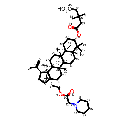 C=C(C)[C@@H]1CC[C@]2(CCOC(=O)CN3CCCCC3)CC[C@]3(C)[C@H](CC[C@@H]4[C@@]5(C)CC[C@H](OC(=O)CC(C)(C)CC(=O)O)C(C)(C)[C@@H]5CC[C@]43C)[C@@H]12